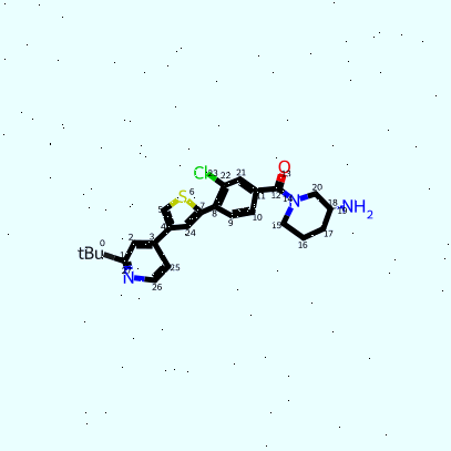 CC(C)(C)c1cc(-c2csc(-c3ccc(C(=O)N4CCC[C@@H](N)C4)cc3Cl)c2)ccn1